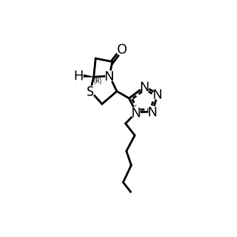 CCCCCCn1nnnc1C1CS[C@@H]2CC(=O)N12